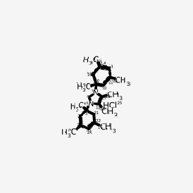 CC1=CC(C)(N2CN(C3(C)C=C(C)C=C(C)C3)C(C)=C2C)CC(C)=C1.Cl